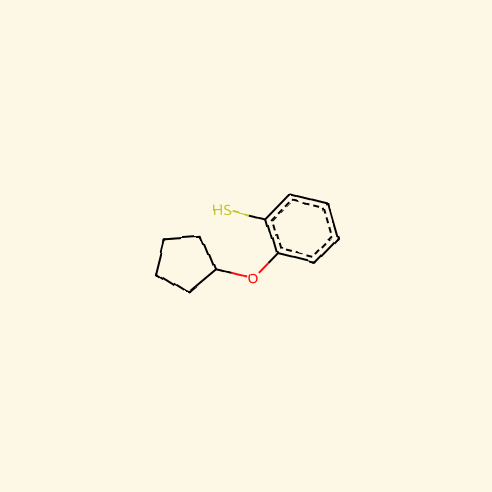 Sc1ccccc1OC1CCCC1